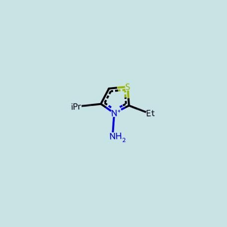 CCc1scc(C(C)C)[n+]1N